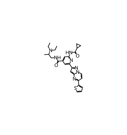 CCN(CC)C(C)CNC(=O)c1cc(NC(=O)C2CC2)nc(-c2cc3nc(-c4cccs4)ccn3n2)c1